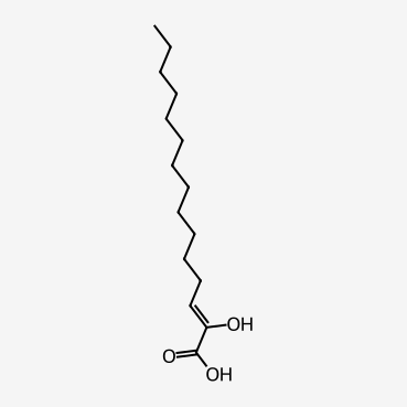 CCCCCCCCCCCCC=C(O)C(=O)O